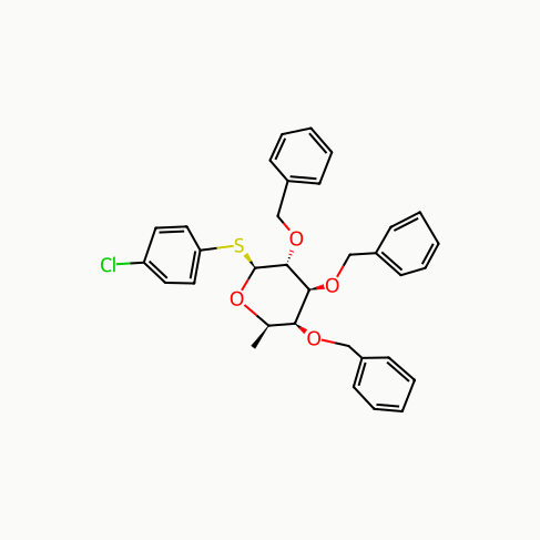 C[C@H]1O[C@@H](Sc2ccc(Cl)cc2)[C@H](OCc2ccccc2)[C@@H](OCc2ccccc2)[C@H]1OCc1ccccc1